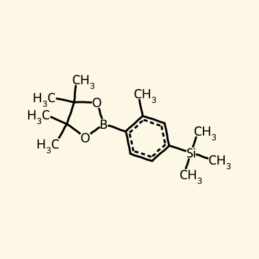 Cc1cc([Si](C)(C)C)ccc1B1OC(C)(C)C(C)(C)O1